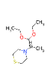 CCOC(OCC)[SiH](C)N1CCSCC1